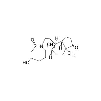 C[C@]12CC[C@H]3[C@@H](CCN4C(=O)CC(O)CC[C@]34C)[C@@H]1CCC2=O